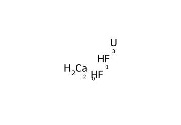 F.F.[CaH2].[U]